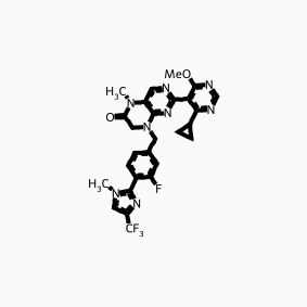 COc1ncnc(C2CC2)c1-c1ncc2c(n1)N(Cc1ccc(-c3nc(C(F)(F)F)cn3C)c(F)c1)CC(=O)N2C